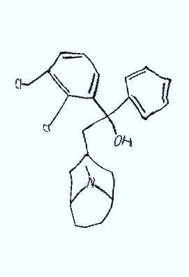 CN1C2CCC1CC(CC(O)(c1ccccc1)c1cccc(Cl)c1Cl)C2